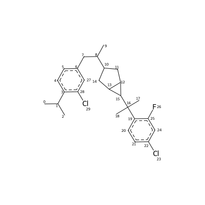 CC(C)c1ccc(CC(C)C2CC3C(C2)C3C(C)(C)c2ccc(Cl)cc2F)cc1Cl